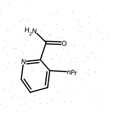 CCCc1cccnc1C(N)=O